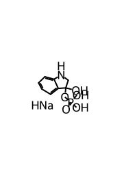 O=P(O)(O)OC1(O)CNc2ccccc21.[NaH]